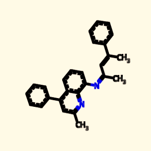 CC(/C=C(\C)c1ccccc1)=N/c1cccc2c(-c3ccccc3)cc(C)nc12